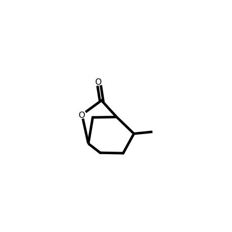 CC1CCC2CC1C(=O)O2